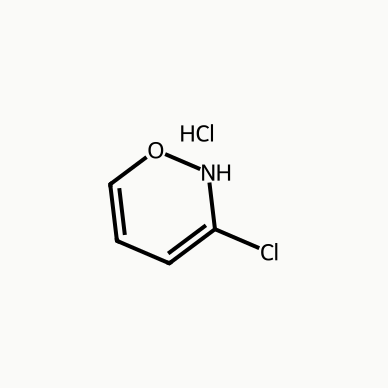 Cl.ClC1=CC=CON1